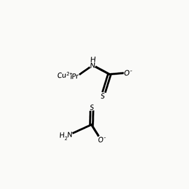 CC(C)NC([O-])=S.NC([O-])=S.[Cu+2]